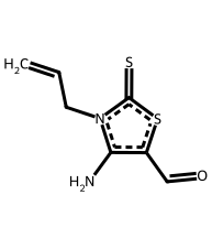 C=CCn1c(N)c(C=O)sc1=S